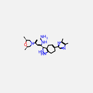 C=C(/C=C(\NCN)[C@@H]1NNC2=C1CC=C(c1cnc(C)c(C)n1)CC2)N1C[C@@H](C)O[C@@H](C)C1